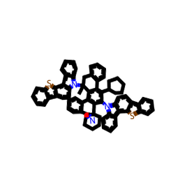 CC1(n2c3ccccc3c3c4sc5ccccc5c4ccc32)Cc2ccccc2-c2c(C3CCCCC3)c(-n3c4ccccc4c4c5sc6ccccc6c5ccc43)c(C3CCCCC3)c(-c3ccccc3C#N)c21